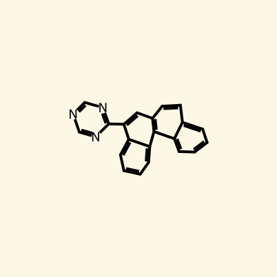 c1ccc2c(c1)ccc1cc(-c3ncncn3)c3ccccc3c12